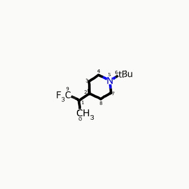 CC(C1CCN(C(C)(C)C)CC1)C(F)(F)F